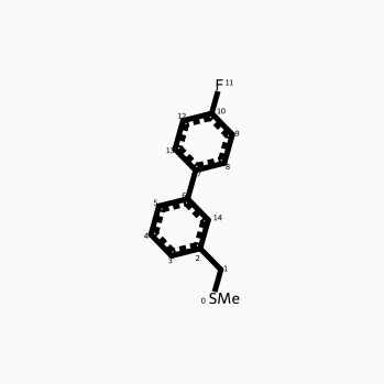 CSCc1cccc(-c2ccc(F)cc2)c1